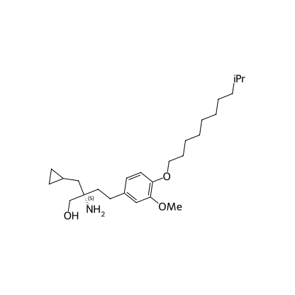 COc1cc(CC[C@@](N)(CO)CC2CC2)ccc1OCCCCCCCCC(C)C